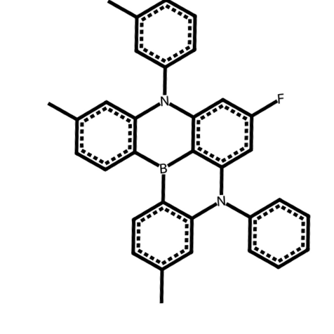 Cc1cccc(N2c3cc(C)ccc3B3c4ccc(C)cc4N(c4ccccc4)c4cc(F)cc2c43)c1